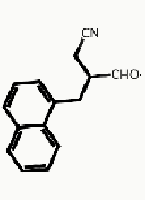 N#CCC([C]=O)Cc1cccc2ccccc12